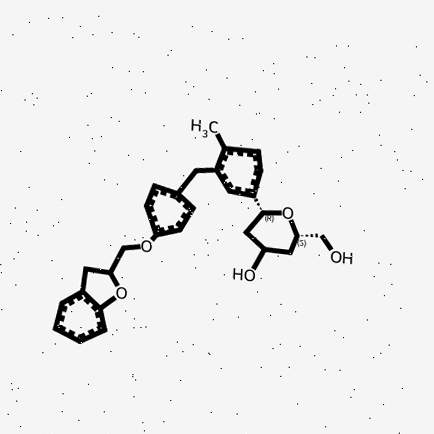 Cc1ccc([C@H]2CC(O)C[C@@H](CO)O2)cc1Cc1ccc(OCC2Cc3ccccc3O2)cc1